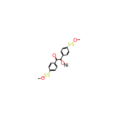 COSSc1ccc(C(=O)C(=O)c2ccc(SSOC)cc2)cc1.[Ni]